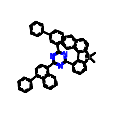 C[Si]1(C)c2cccc(-c3nc(-c4cccc(-c5ccccc5)c4)nc(-c4ccc(-c5ccccc5)c5ccccc45)n3)c2-c2c1ccc1ccccc21